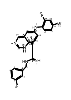 N=C(NCc1cccc(F)c1)C1=NC2=CC(Nc3ccc(Br)cc3F)=CC3=CN=CNC32S1